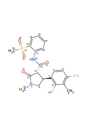 Cc1c(F)ccc([C@H]2CN(C)C(=O)[C@@H]2C(=O)Nc2ccccc2S(C)(=O)=O)c1F